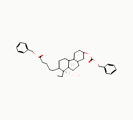 C[C@H](CCC(=O)OCc1ccccc1)[C@H]1CC[C@H]2[C@@H]3[C@@H](O)CC4C[C@](O)(OC(=O)OCc5ccccc5)CC[C@]4(C)[C@H]3CC[C@]12C